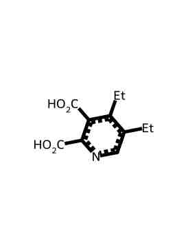 CCc1cnc(C(=O)O)c(C(=O)O)c1CC